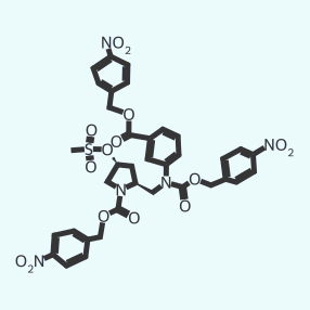 CS(=O)(=O)O[C@@H]1C[C@@H](CN(C(=O)OCc2ccc([N+](=O)[O-])cc2)c2cccc(C(=O)OCc3ccc([N+](=O)[O-])cc3)c2)N(C(=O)OCc2ccc([N+](=O)[O-])cc2)C1